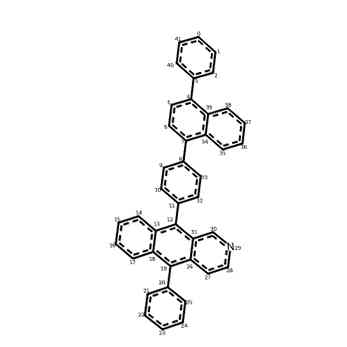 c1ccc(-c2ccc(-c3ccc(-c4c5ccccc5c(-c5ccccc5)c5ccncc45)cc3)c3ccccc23)cc1